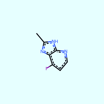 Cc1nc2c(I)ccnc2[nH]1